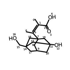 CC(C(=O)O)=C(C)C12CC3CC(O)(CC(CO)(C3)C1)C2